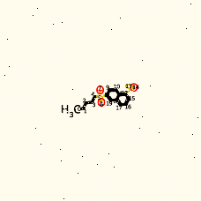 CCCCCS(=O)(=O)c1ccc2c([S+]=O)cccc2c1